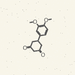 COc1ccc(C2CC(=O)CC(=O)C2)cc1OC